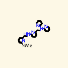 CNc1cccc(CCNc2cccc(CCN(c3ccccn3)c3ccccn3)n2)n1